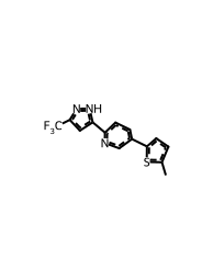 Cc1ccc(-c2ccc(-c3cc(C(F)(F)F)n[nH]3)nc2)s1